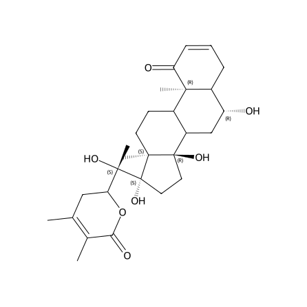 CC1=C(C)C(=O)OC([C@](C)(O)[C@]2(O)CC[C@@]3(O)C4C[C@@H](O)C5CC=CC(=O)[C@]5(C)C4CC[C@]23C)C1